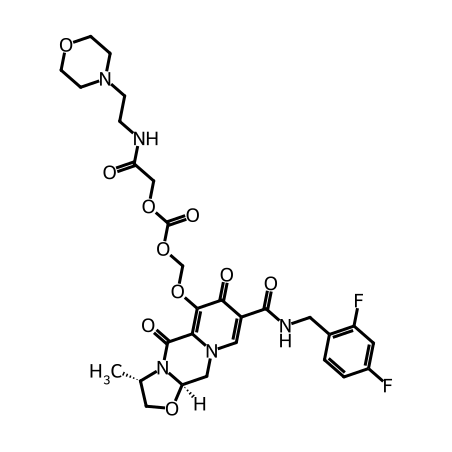 C[C@H]1CO[C@@H]2Cn3cc(C(=O)NCc4ccc(F)cc4F)c(=O)c(OCOC(=O)OCC(=O)NCCN4CCOCC4)c3C(=O)N12